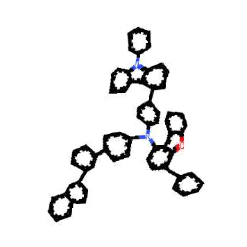 c1ccc(-c2ccc(N(c3ccc(-c4cccc(-c5ccc6ccccc6c5)c4)cc3)c3ccc(-c4cccc5c4c4ccccc4n5-c4ccccc4)cc3)c3c2oc2ccccc23)cc1